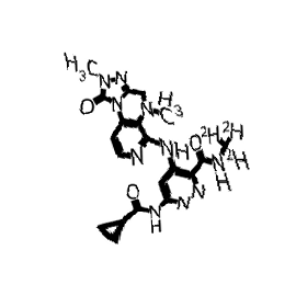 [2H]C([2H])([2H])NC(=O)c1nnc(NC(=O)C2CC2)cc1Nc1nccc2c1N(C)Cc1nn(C)c(=O)n1-2